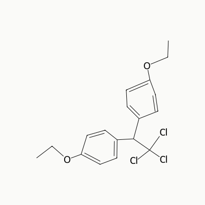 CCOc1ccc(C(c2ccc(OCC)cc2)C(Cl)(Cl)Cl)cc1